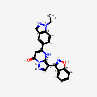 CCn1ncc2cc(-c3cc(=O)n4ncc(-c5noc6ccccc56)c4[nH]3)ccc21